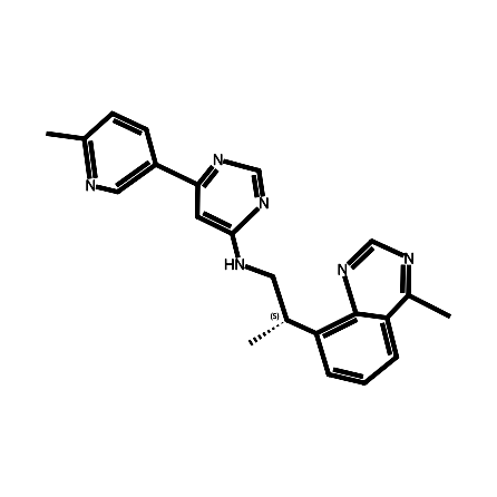 Cc1ccc(-c2cc(NC[C@@H](C)c3cccc4c(C)ncnc34)ncn2)cn1